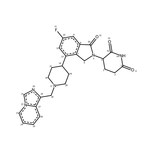 O=C1CCC(N2Cc3c(cc(F)cc3C3CCN(Cc4ncn5ccccc45)CC3)C2=O)C(=O)N1